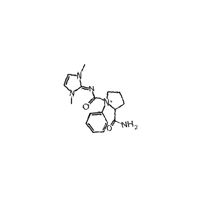 Cn1ccn(C)c1=NC(=O)[N+]1(c2ccccc2)CCCC1C(N)=O